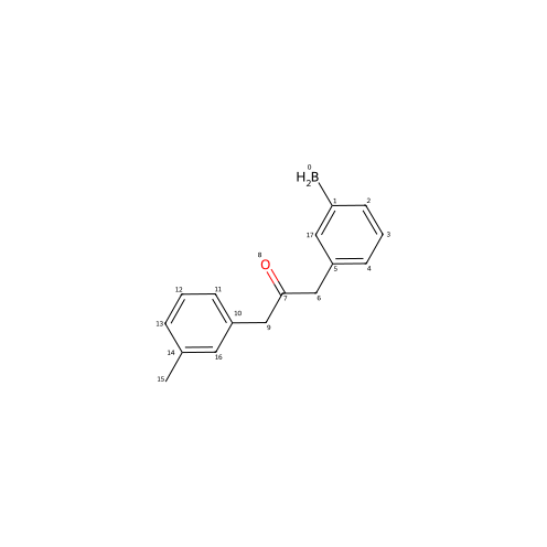 Bc1cccc(CC(=O)Cc2cccc(C)c2)c1